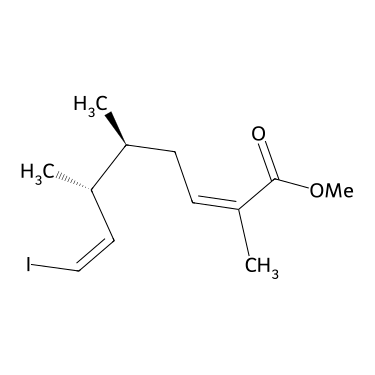 COC(=O)/C(C)=C\C[C@H](C)[C@@H](C)/C=C\I